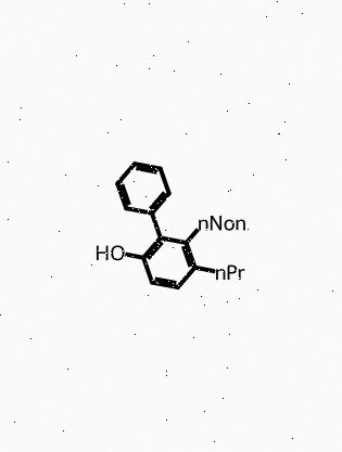 CCCCCCCCCc1c(CCC)ccc(O)c1-c1ccccc1